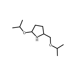 CC(C)OCC1CCC(OC(C)C)N1